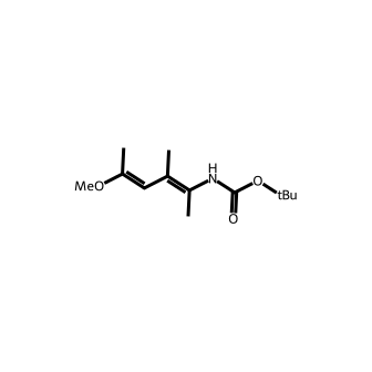 CO/C(C)=C/C(C)=C(\C)NC(=O)OC(C)(C)C